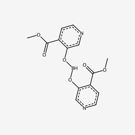 COC(=O)c1ccncc1OBOc1cnccc1C(=O)OC